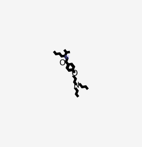 CCCC/C(=C\C(=O)c1ccc(OCCCN(CCCC)CCCC)cc1)C(C)C